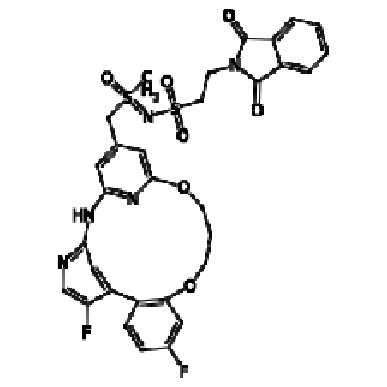 CS(=O)(Cc1cc2nc(c1)OCCCOc1cc(F)ccc1-c1cc(ncc1F)N2)=NS(=O)(=O)CCN1C(=O)c2ccccc2C1=O